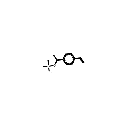 C=Cc1ccc(C(C)O[Si](C)(C)C(C)(C)C)cc1